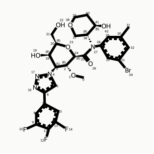 CO[C@@H]1[C@@H](n2cc(-c3cc(F)c(F)c(F)c3)nn2)[C@@H](O)[C@@H](CO)O[C@H]1C(=O)N(c1cc(C)cc(Br)c1)[C@@H]1COCC[C@H]1O